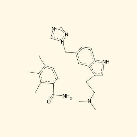 CN(C)CCc1c[nH]c2ccc(Cn3cncn3)cc12.Cc1ccc(C(N)=O)c(C)c1C